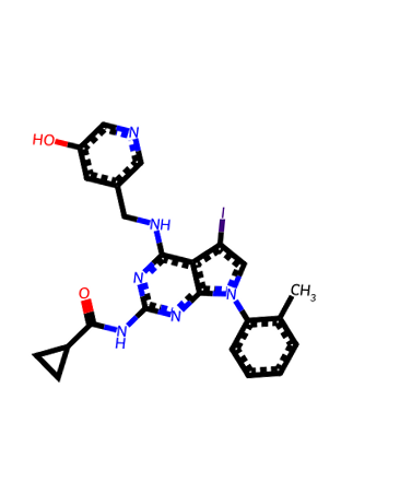 Cc1ccccc1-n1cc(I)c2c(NCc3cncc(O)c3)nc(NC(=O)C3CC3)nc21